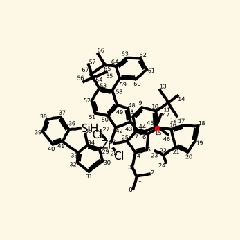 CC(C)CC1=Cc2c(ccc(C(C)(C)C)c2-c2ccccc2C(C)C)[CH]1[Zr]([Cl])([Cl])([c]1cccc2c1[SiH2]c1ccccc1-2)[CH]1C(CC(C)C)=Cc2c1ccc(C(C)(C)C)c2-c1ccccc1C(C)C